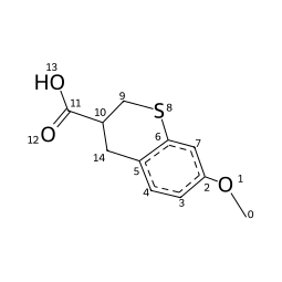 COc1ccc2c(c1)SCC(C(=O)O)C2